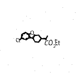 CCOC(=O)C(C)C1CCc2c(oc3ccc(Cl)cc23)C1